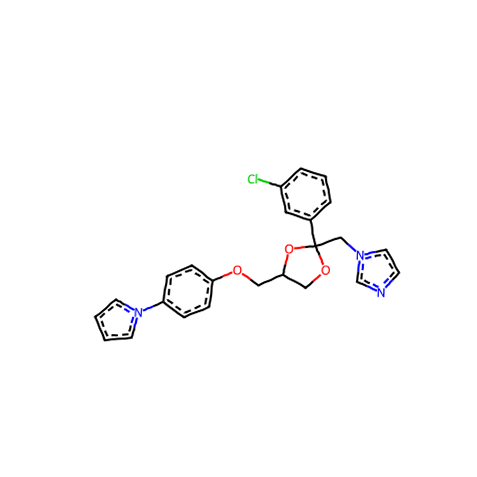 Clc1cccc(C2(Cn3ccnc3)OCC(COc3ccc(-n4cccc4)cc3)O2)c1